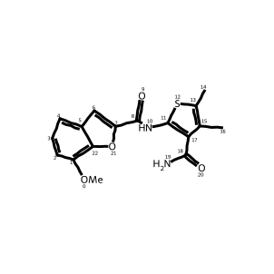 COc1cccc2cc(C(=O)Nc3sc(C)c(C)c3C(N)=O)oc12